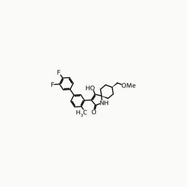 COC[C@H]1CC[C@@]2(CC1)NC(=O)C(c1cc(-c3ccc(F)c(F)c3)ccc1C)=C2O